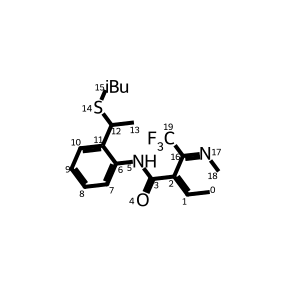 C/C=C(C(=O)Nc1ccccc1C(C)SC(C)CC)\C(=N/C)C(F)(F)F